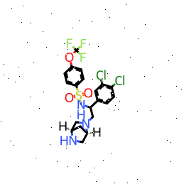 O=S(=O)(NC(CN1C[C@H]2C[C@@H]1CN2)c1ccc(Cl)c(Cl)c1)c1ccc(OC(F)(F)F)cc1